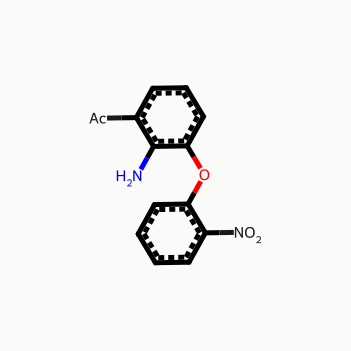 CC(=O)c1cccc(Oc2ccccc2[N+](=O)[O-])c1N